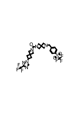 O=C(N1CC2(CC(n3cnc(C(F)(F)F)n3)C2)C1)N1CC2(CN(Cc3ccc(S(=O)(=O)C(F)(F)F)cc3)C2)C1